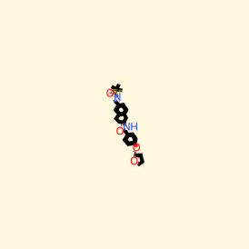 CC(C)(C)[S@@+]([O-])/N=C/c1ccc2c(c1)CC[C@H](NC(=O)c1ccc(OC[C@@H]3CCCO3)cc1)C2